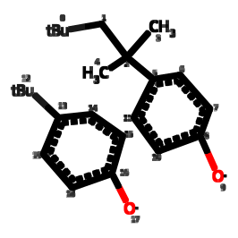 CC(C)(C)CC(C)(C)c1ccc([O])cc1.CC(C)(C)c1ccc([O])cc1